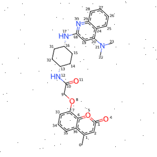 Cc1cc(=O)oc2c(OCC(=O)N[C@H]3CC[C@@H](Nc4cc(N(C)C)c5ccccc5n4)CC3)cccc12